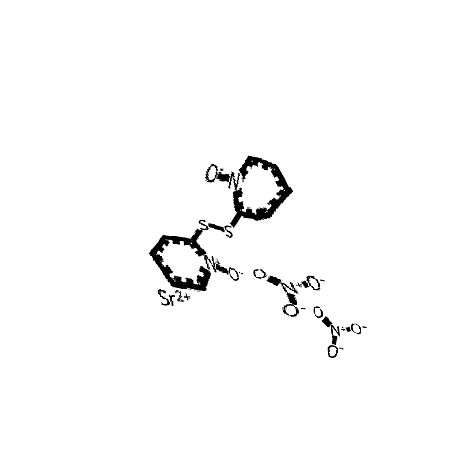 O=[N+]([O-])[O-].O=[N+]([O-])[O-].[O-][n+]1ccccc1SSc1cccc[n+]1[O-].[Sr+2]